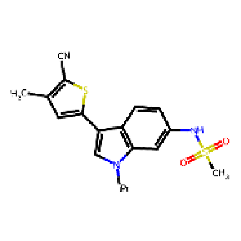 Cc1cc(-c2cn(C(C)C)c3cc(NS(C)(=O)=O)ccc23)sc1C#N